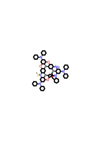 CSN1c2cc3c(cc2B2c4ccccc4Oc4cc(N(c5ccccc5)c5ccccc5)cc1c42)B1c2cc4c(cc2Oc2cc(N(c5ccccc5)c5ccccc5)cc(c21)O3)Nc1cc(N(c2ccccc2)c2ccccc2)cc2c1B4c1cccc3c4ccccc4n-2c13